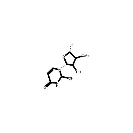 CC[C@H]1O[C@@H](N2C=CC(=O)NC2O)C(O)C1OC